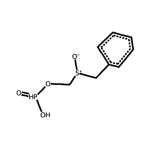 O=[PH](O)OC[S+]([O-])Cc1ccccc1